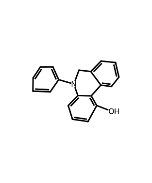 Oc1cccc2c1-c1ccccc1CN2c1ccccc1